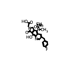 CN(c1c2c(c(O)c3ncc(Cc4ccc(F)cc4)cc13)C(=O)N(CC(=O)O)C2)S(C)(=O)=O